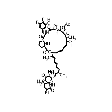 CC[C@H]1C[C@H](C)[C@@]2(NC1=O)O[C@@H](C[C@H](O)[C@@H](C)CC/C=C/C=C(\C)[C@@H]1C/C=C/C=C/[C@H](O)[C@H](C)[C@@H](O)[C@@H](CCC(C)=O)C(=O)N[C@@H](C(C)C)C(=O)N[C@@H](Cc3cc(O)c(F)c(F)c3)C(=O)N3CCCC(N3)C(=O)O1)[C@H](C)[C@H](O)[C@@H]2C